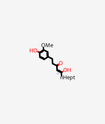 CCCCCCC/C(O)=C/C(=O)CCc1ccc(O)c(OC)c1